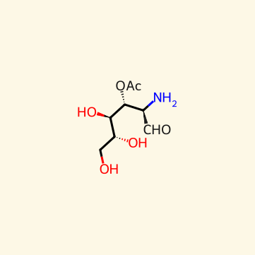 CC(=O)O[C@@H]([C@H](O)[C@H](O)CO)[C@@H](N)C=O